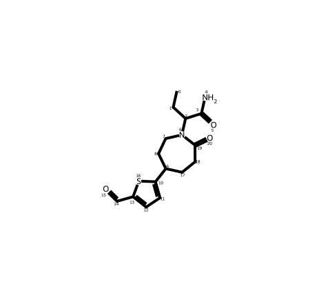 CCC(C(N)=O)N1CCC(c2ccc(C=O)s2)CCC1=O